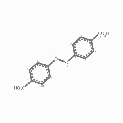 O=C(O)c1ccc(OOc2ccc(C(=O)O)cc2)cc1